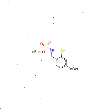 CCCCCCCCc1ccc(CNS(=O)(=O)OCCCC)c(S)c1